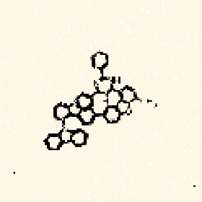 CC1C=CC(C2NC(C3=CCCC=C3)=NC(c3ccccc3)N2)=C2c3cc(-c4ccc5c(c4)sc4cccc(-n6c7ccccc7c7ccccc76)c45)ccc3OC21